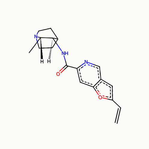 C=Cc1cc2cnc(C(=O)N[C@@H]3C4CCN(CC4)[C@H]3C)cc2o1